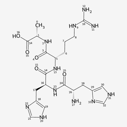 C[C@H](NC(=O)[C@H](CCCNC(=N)N)NC(=O)[C@H](Cc1c[nH]cn1)NC(=O)[C@@H](N)Cc1c[nH]cn1)C(=O)O